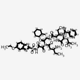 CCOc1ccc2nc(S(=O)(=O)NC(=O)C(=O)N(C(=O)CC(N)CC)C(=O)[C@H](CC3CCCCC3)NC(=O)[C@@H](NC(=O)[C@H](CC(C)C)NC(=O)c3cnccn3)[C@@H](C)CC)sc2c1